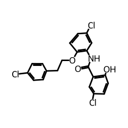 O=C(Nc1cc(Cl)ccc1OCCc1ccc(Cl)cc1)c1cc(Cl)ccc1O